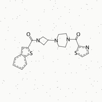 O=C(c1cc2ccccc2s1)N1CC(N2CCN(C(=O)c3nccs3)CC2)C1